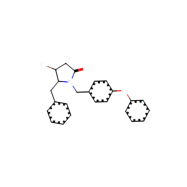 O=C1CC(S)C(Cc2ccccc2)N1Cc1ccc(Oc2ccccc2)cc1